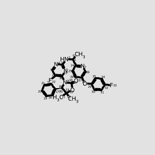 CC(Nc1ncc(F)c(N2C(=O)OC(C)(C)[C@H]2c2ccccc2)n1)c1ccc(Oc2ccc(F)cc2)cn1